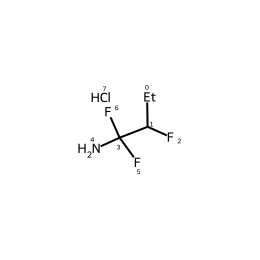 CCC(F)C(N)(F)F.Cl